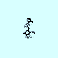 Cc1ccsc1S(=O)(=O)NCC1OC(C)C(O)C(O)C1O